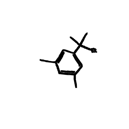 CCC(C)(C)c1cc(C)cc(C)c1